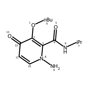 CCCCOc1c(C(=O)NC(C)C)n(N)ccc1=O